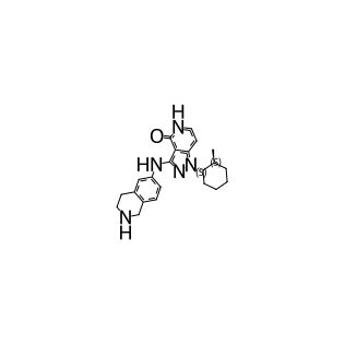 C[C@H]1CCCC[C@@H]1n1nc(Nc2ccc3c(c2)CCNC3)c2c(=O)[nH]ccc21